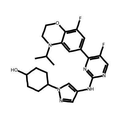 CC(C)N1CCOc2c(F)cc(-c3nc(Nc4cnn(C5CCC(O)CC5)c4)ncc3F)cc21